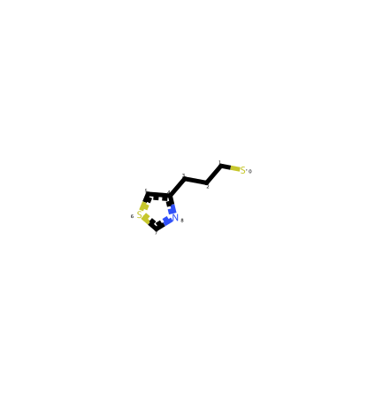 [S]CCCc1cscn1